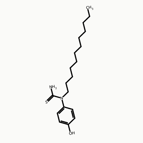 CCCCCCCCCCCCN(C(N)=S)c1ccc(O)cc1